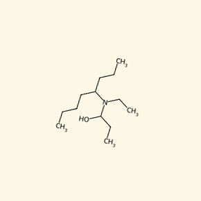 CCCCC(CCC)N(CC)C(O)CC